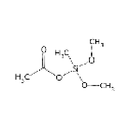 CO[Si](C)(OC)OC(C)=O